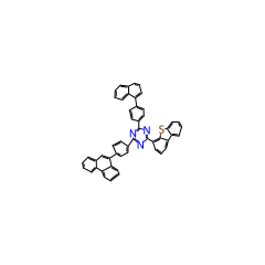 c1ccc2c(-c3ccc(-c4nc(-c5ccc(-c6cc7ccccc7c7ccccc67)cc5)nc(-c5cccc6c5sc5ccccc56)n4)cc3)cccc2c1